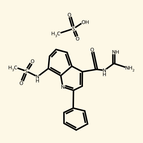 CS(=O)(=O)Nc1cccc2c(C(=O)NC(=N)N)cc(-c3ccccc3)nc12.CS(=O)(=O)O